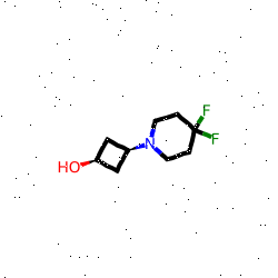 O[C@H]1C[C@@H](N2CCC(F)(F)CC2)C1